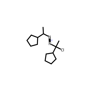 CC(/N=N/C(C)(Cl)C1CCCC1)C1CCCC1